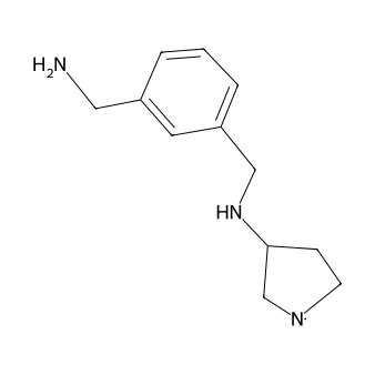 NCc1cccc(CNC2CC[N]C2)c1